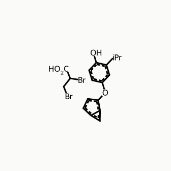 CC(C)c1cc(Oc2ccc3cc2-3)ccc1O.O=C(O)C(Br)CBr